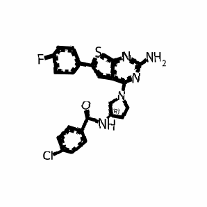 Nc1nc(N2CC[C@@H](NC(=O)c3ccc(Cl)cc3)C2)c2cc(-c3ccc(F)cc3)sc2n1